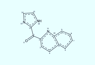 O=C(c1ccc2ccccc2n1)c1ncc[nH]1